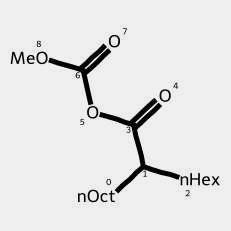 CCCCCCCCC(CCCCCC)C(=O)OC(=O)OC